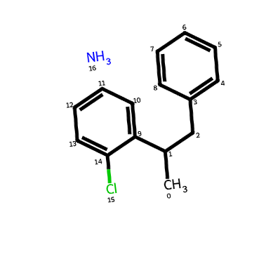 CC(Cc1ccccc1)c1ccccc1Cl.N